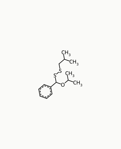 CC(C)CSSC(OC(C)C)c1ccccc1